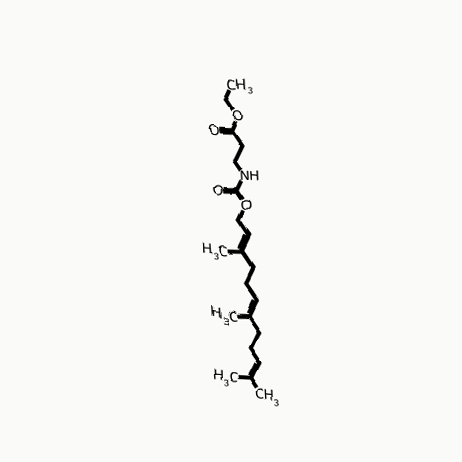 CCOC(=O)CCNC(=O)OC/C=C(\C)CC/C=C(\C)CCC=C(C)C